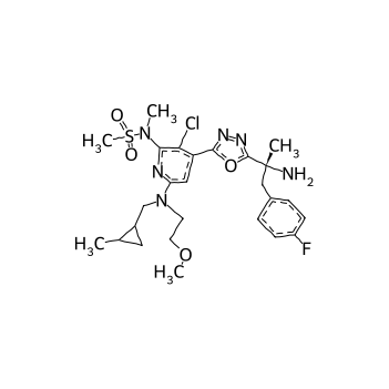 COCCN(CC1CC1C)c1cc(-c2nnc([C@](C)(N)Cc3ccc(F)cc3)o2)c(Cl)c(N(C)S(C)(=O)=O)n1